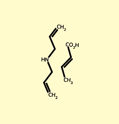 C=CCNCC=C.CC=CC(=O)O